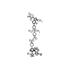 Cc1nc(-c2c(-c3nn(C45CC(C4)C5)c4ncnc(N)c34)noc2C2CC2)ncc1C1CCN(C(=O)OCC(=O)N2CCC(C(C)(C)N3CCN(c4ccc5c(N6CCC(=O)NC6=O)nn(C)c5c4F)CC3)CC2)CC1